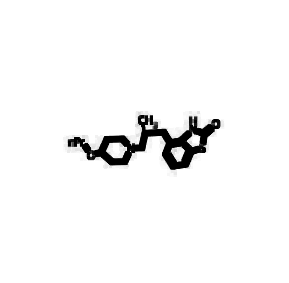 CCCOC1CCN(C[C@H](C)Cc2cccc3sc(=O)[nH]c23)CC1